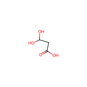 O=C(O)CC(O)O